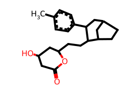 Cc1ccc(C2CC3CCC(C3)C2CCC2CC(O)CC(=O)O2)cc1